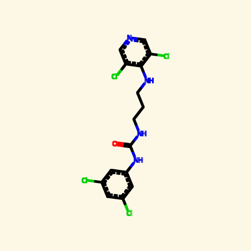 O=C(NCCCNc1c(Cl)cncc1Cl)Nc1cc(Cl)cc(Cl)c1